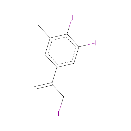 C=C(CI)c1cc(C)c(I)c(I)c1